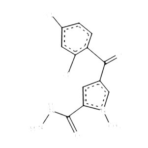 Cn1cc(C(=O)c2ccc(Cl)cc2Cl)cc1C(=O)NN